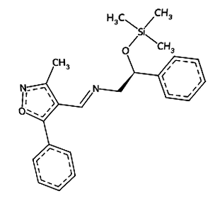 Cc1noc(-c2ccccc2)c1/C=N/C[C@@H](O[Si](C)(C)C)c1ccccc1